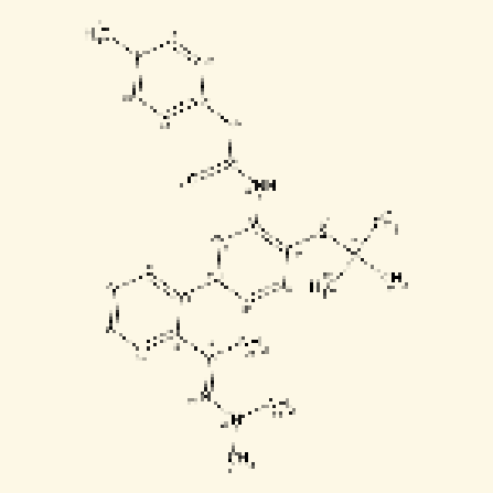 Cc1ccc(CC(=O)Nc2cc(-c3ccccc3/C(N)=N/N(C)N)ccc2SC(C)(C)C)cc1